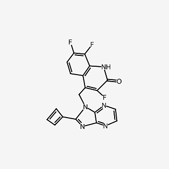 O=c1[nH]c2c(F)c(F)ccc2c(Cn2c(C3=CC=C3)nc3nccnc32)c1F